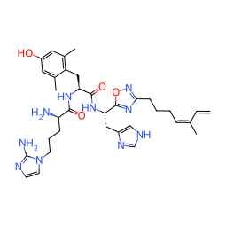 C=C/C(C)=C\CCCc1noc([C@H](Cc2c[nH]cn2)NC(=O)[C@H](Cc2c(C)cc(O)cc2C)NC(=O)[C@H](N)CCCn2ccnc2N)n1